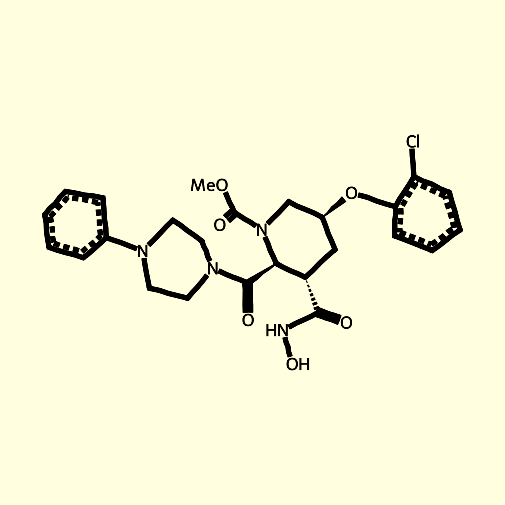 COC(=O)N1C[C@@H](Oc2ccccc2Cl)C[C@H](C(=O)NO)[C@H]1C(=O)N1CCN(c2ccccc2)CC1